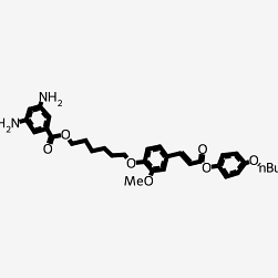 CCCCOc1ccc(OC(=O)C=Cc2ccc(OCCCCCCOC(=O)c3cc(N)cc(N)c3)c(OC)c2)cc1